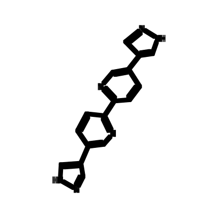 c1cc(-c2ccc(-c3cn[nH]c3)cn2)ncc1-c1cn[nH]c1